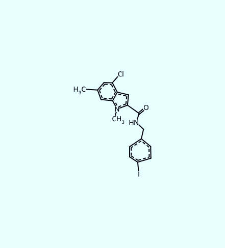 Cc1cc(Cl)c2cc(C(=O)NCc3ccc(I)cc3)n(C)c2c1